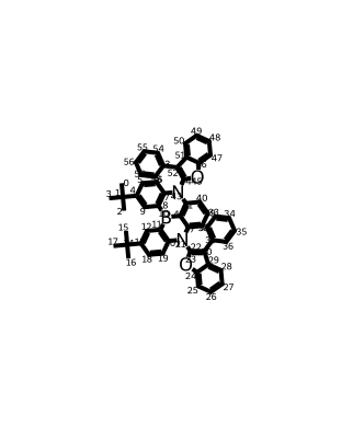 CC(C)(C)c1ccc2c(c1)B1c3cc(C(C)(C)C)ccc3N(c3oc4ccccc4c3-c3ccccc3)c3cccc(c31)N2c1oc2ccccc2c1-c1ccccc1